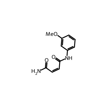 COc1cccc(NC(=O)/C=C\C(N)=O)c1